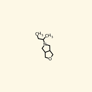 CCC(C)N1CC2COCC2C1